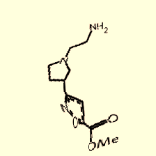 COC(=O)c1cc(C2CCN(CCN)C2)no1